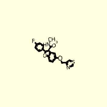 CNC(=O)c1c(-c2ccc(F)cc2)oc2ccc(OCc3cscn3)cc12